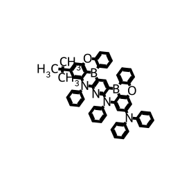 CC(C)(C)c1cc2c3c(c1)N(c1ccccc1)c1nc4c(cc1B3c1ccccc1O2)B1c2ccccc2Oc2cc(N(c3ccccc3)c3ccccc3)cc(c21)N4c1ccccc1